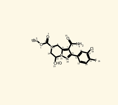 CC(C)(C)OC(=O)N1Cc2c(C(N)=O)c(-c3ccc(F)c(Cl)c3)nn2C(C=O)C1